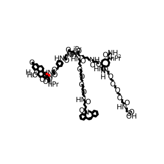 CCCC1O[C@@H]2CC3C4CCC5=CC(=O)C=C[C@]5(C)C4[C@@H](O)C[C@]3(C)[C@]2(C(=O)CNC(=O)OCc2ccc(NC(=O)CNC(=O)[C@@H](NC(=O)[C@@H](CCCCNC(=O)COC3CCC(N(CCC)C(N)=O)CCC4=C3NNN4CCOCCOCCOCCOCCC(=O)NCCS(=O)O)NC(=O)CCOCCOCCOCCOCCNC(=O)CCC(=O)N3Cc4ccccc4C#Cc4ccccc43)C(C)C)cc2)O1